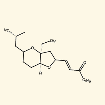 COC(=O)/C=C/C1C[C@]2(CO)OC(C[C@@H](C)C#N)CC[C@@H]2O1